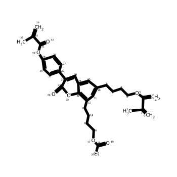 C=C(C)C(=C)OCCCCc1cc(CCCCOC(=O)CC)c2oc(=O)c(-c3ccc(OC(=O)C(=C)C)cc3)cc2c1